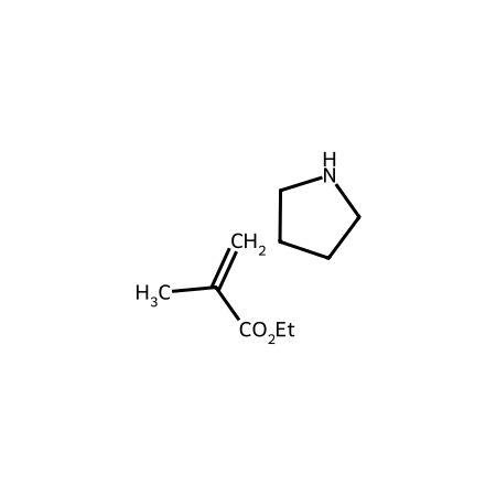 C1CCNC1.C=C(C)C(=O)OCC